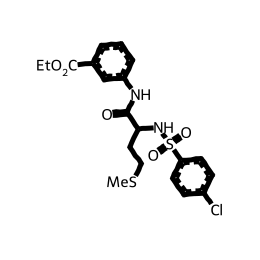 CCOC(=O)c1cccc(NC(=O)C(CCSC)NS(=O)(=O)c2ccc(Cl)cc2)c1